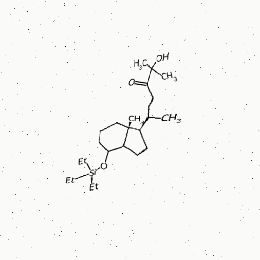 CC[Si](CC)(CC)OC1CCC[C@@]2(C)C1CC[C@@H]2C(C)CCC(=O)C(C)(C)O